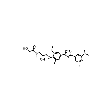 CCc1cc(-c2noc(-c3cc(C)nc(C(C)C)c3)n2)cc(C)c1OC[C@H](O)CNC(=O)CO